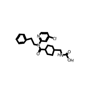 O=C(O)NCC1CCC(C(=O)N(CCc2ccccc2)c2cc(Cl)ccn2)CC1